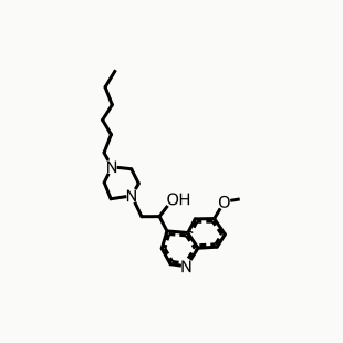 CCCCCCN1CCN(CC(O)c2ccnc3ccc(OC)cc23)CC1